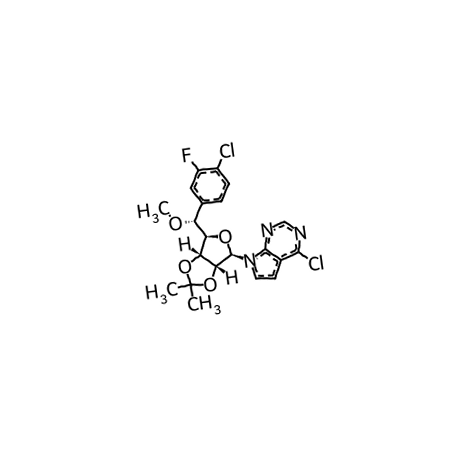 CO[C@H](c1ccc(Cl)c(F)c1)[C@H]1O[C@@H](n2ccc3c(Cl)ncnc32)[C@@H]2OC(C)(C)O[C@@H]21